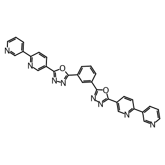 c1cncc(-c2ccc(-c3nnc(-c4cccc(-c5nnc(-c6ccc(-c7cccnc7)nc6)o5)c4)o3)cn2)c1